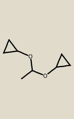 C[C](OC1CC1)OC1CC1